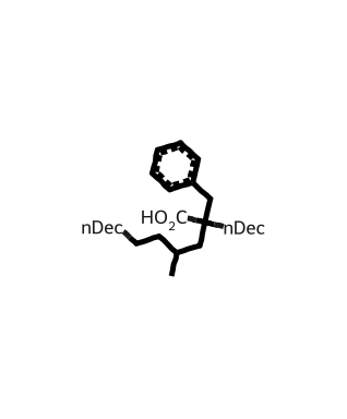 CCCCCCCCCCCCC(C)CC(CCCCCCCCCC)(Cc1ccccc1)C(=O)O